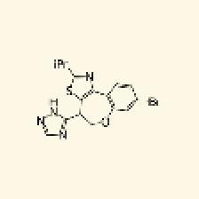 CC(C)c1nc2c(s1)C(c1ncn[nH]1)COc1cc(Br)ccc1-2